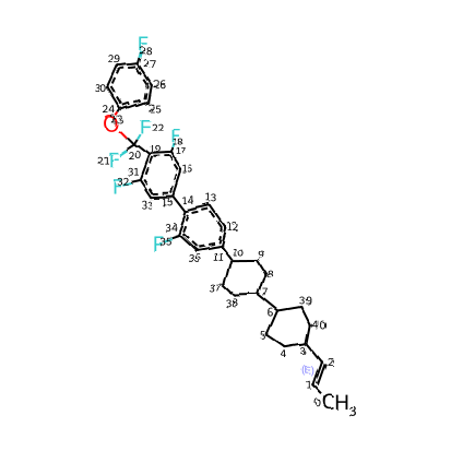 C/C=C/C1CCC(C2CCC(c3ccc(-c4cc(F)c(C(F)(F)Oc5ccc(F)cc5)c(F)c4)c(F)c3)CC2)CC1